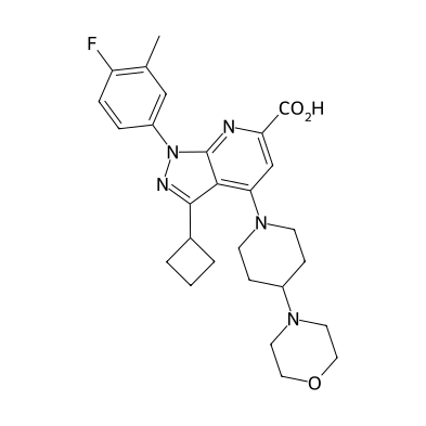 Cc1cc(-n2nc(C3CCC3)c3c(N4CCC(N5CCOCC5)CC4)cc(C(=O)O)nc32)ccc1F